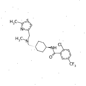 Cc1nc(CN(C)C[C@H]2CC[C@H](NC(=O)c3cc(C(F)(F)F)ccc3Cl)CC2)cs1